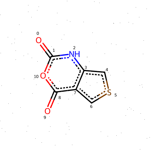 O=c1[nH]c2cscc2c(=O)o1